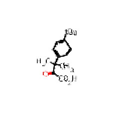 CC(C)(C)c1ccc(C(C)(C)C(=O)C(=O)O)cc1